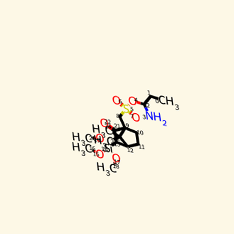 CCC(N)OS(=O)(=O)CC12CCC(C([Si](OC)(OC)OC)C1=O)C2(C)C